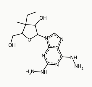 CCC1(C)C(CO)OC(n2cnc3c(NN)nc(NN)nc32)C1O